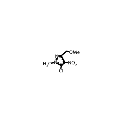 COCc1nn(C)c(Cl)c1[N+](=O)[O-]